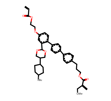 C=CC(=O)OCCOc1ccc(-c2ccc(-c3ccc(CCCOC(=O)C(=C)COC)cc3)cc2)c(C2OCC(C3CCC(CCCC)CC3)CO2)c1